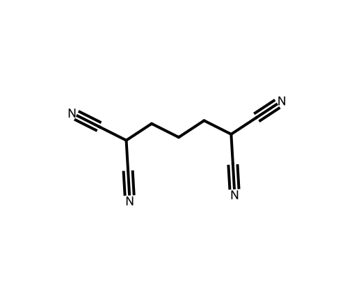 N#CC(C#N)CCCC(C#N)C#N